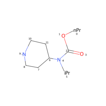 CCCOC(=O)N(C(C)C)C1CC[N]CC1